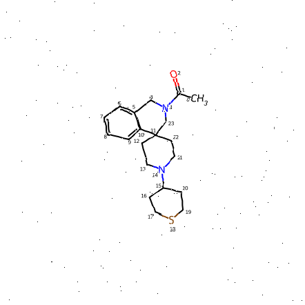 CC(=O)N1Cc2ccccc2C2(CCN(C3CCSCC3)CC2)C1